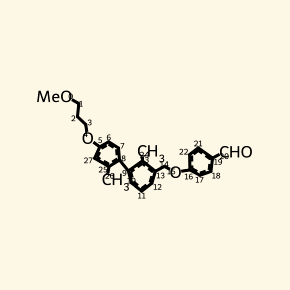 COCCCOc1ccc(-c2cccc(COc3ccc(C=O)cc3)c2C)c(C)c1